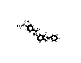 CN(C)c1ccc(C(=O)Nc2ccc3nc(-c4ccccc4)[nH]c3c2)cc1